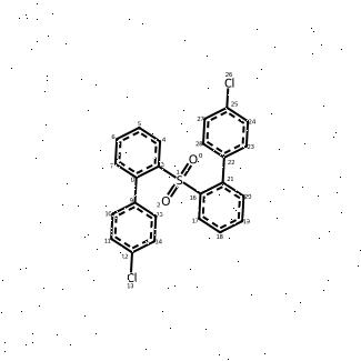 O=S(=O)(c1ccccc1-c1ccc(Cl)cc1)c1ccccc1-c1ccc(Cl)cc1